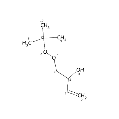 C=CC(O)COOC(C)(C)C